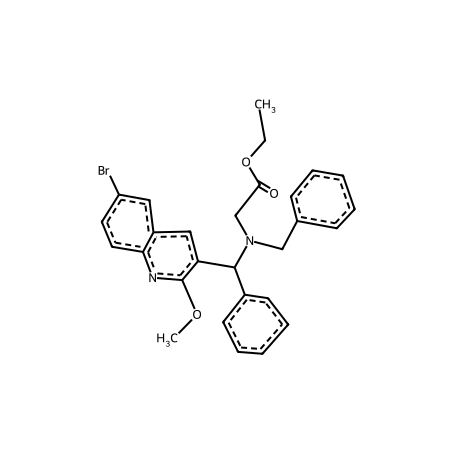 CCOC(=O)CN(Cc1ccccc1)C(c1ccccc1)c1cc2cc(Br)ccc2nc1OC